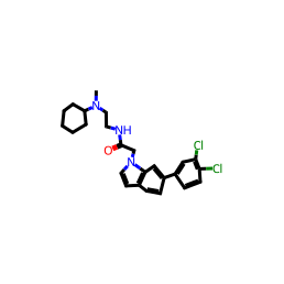 CN(CCNC(=O)Cn1ccc2ccc(-c3ccc(Cl)c(Cl)c3)cc21)C1CCCCC1